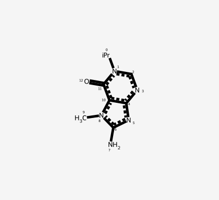 CC(C)n1cnc2nc(N)n(C)c2c1=O